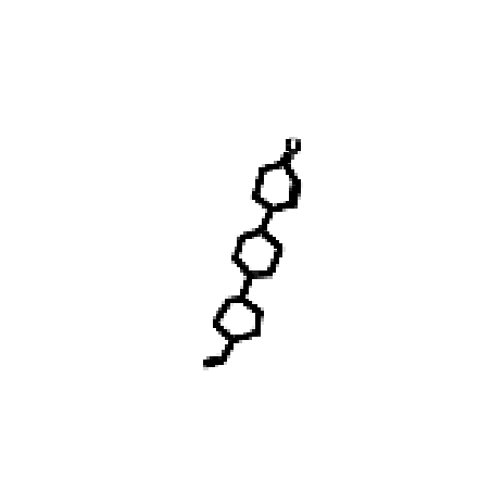 C=CC1CCC(C2CCC(C3C=CC(=O)CC3)CC2)CC1